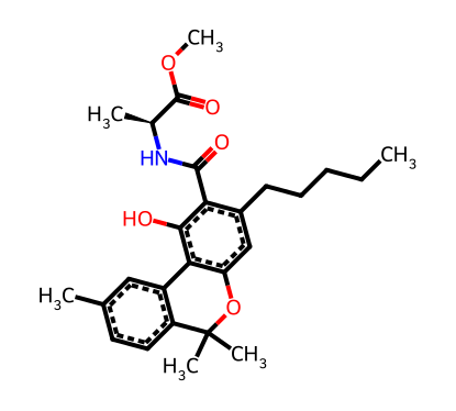 CCCCCc1cc2c(c(O)c1C(=O)N[C@@H](C)C(=O)OC)-c1cc(C)ccc1C(C)(C)O2